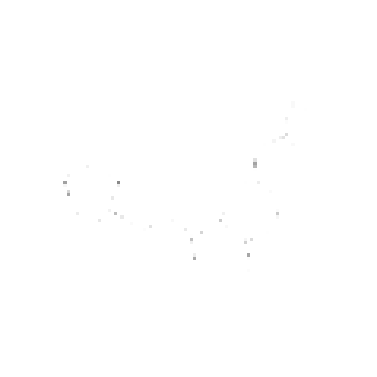 CC(=O)OC1C=CC(=O)N(C(=O)CCc2ccccc2)C1